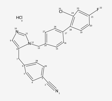 Cl.N#Cc1ccc(Cc2cncn2Cc2ccc(-c3ccc(F)cc3Cl)cc2)cc1